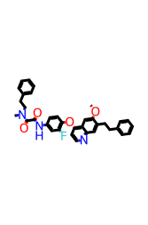 COc1cc2c(Oc3ccc(NC(=O)C(=O)N(C)CCc4ccccc4)cc3F)ccnc2cc1CCc1ccccc1